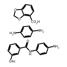 CC(=O)Oc1cccc(C(=O)Nc2ccc(N)cc2)c1.Nc1ccc(N)cc1.O=C(O)c1cccc2c1OCO2